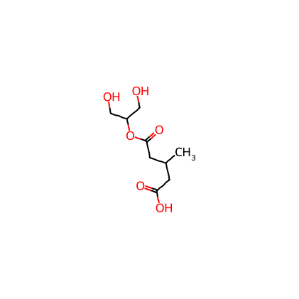 CC(CC(=O)O)CC(=O)OC(CO)CO